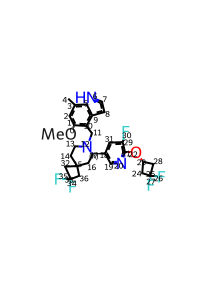 COc1cc(C)c2[nH]ccc2c1CN1CCC2(C[C@@H]1c1cnc(OC3CC(F)(F)C3)c(F)c1)CC(F)(F)C2